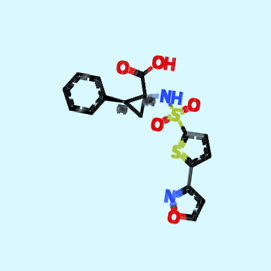 O=C(O)[C@@]1(NS(=O)(=O)c2ccc(-c3ccon3)s2)C[C@H]1c1ccccc1